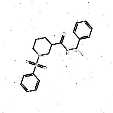 C[C@H](NC(=O)C1CCCN(S(=O)(=O)c2ccccc2)C1)c1ccccc1